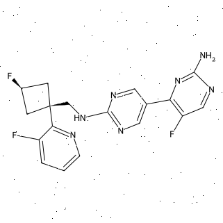 Nc1ncc(F)c(-c2cnc(NC[C@]3(c4ncccc4F)C[C@H](F)C3)nc2)n1